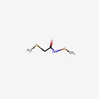 CSCC(=O)NSC